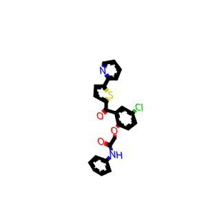 O=C(COc1ccc(Cl)cc1C(=O)c1ccc(-c2ccccn2)s1)Nc1ccccc1